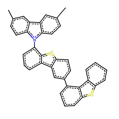 Cc1ccc2c(c1)c1cc(C)ccc1n2-c1cccc2c1sc1ccc(-c3cccc4sc5ccccc5c34)cc12